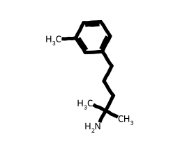 Cc1cccc(CCCC(C)(C)N)c1